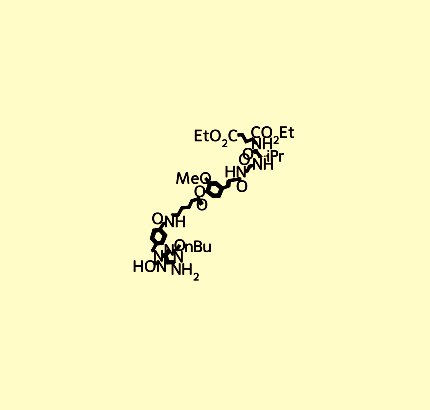 CCCCOc1nc(N)c2nc(O)n(Cc3ccc(C(=O)NCCCCCC(=O)Oc4ccc(/C=C/C(=O)NCC(=O)N[C@H](C(=O)N[C@H](CCC(=O)OCC)C(=O)OCC)C(C)C)cc4OC)cc3)c2n1